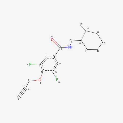 C#CCOc1c(F)cc(C(=O)NCC2CCCCC2C)cc1F